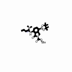 C=C/C=C(/Nc1ccc(B2OC(C)(C)C(C)(C)O2)c2c1C(=O)N(C(=O)OC(C)(C)C)C2)N(C)C